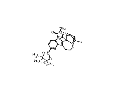 CCC1=CC2CN3CCc4c(n(C(=O)OC(C)(C)C)c5ccc(B6OC(C)(C)C(C)(C)O6)cc45)C(C(=O)OC)(C2)C13